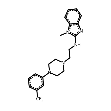 Cn1c(NCCN2CCN(c3cccc(C(F)(F)F)c3)CC2)nc2ccccc21